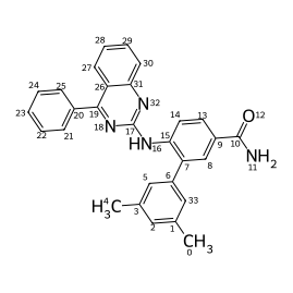 Cc1cc(C)cc(-c2cc(C(N)=O)ccc2Nc2nc(-c3ccccc3)c3ccccc3n2)c1